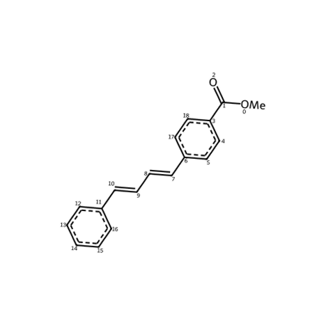 COC(=O)c1ccc(C=CC=Cc2ccccc2)cc1